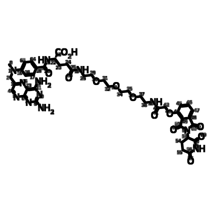 CN(Cc1cnc2nc(N)nc(N)c2n1)c1ccc(C(=O)N[C@@H](CCC(=O)NCCOCCOCCOCCNC(=O)COc2cccc3c2C(=O)N(C2CCC(=O)NC2=O)C3=O)C(=O)O)cc1